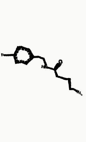 O=C(CCCP)NCc1ccc(F)cc1